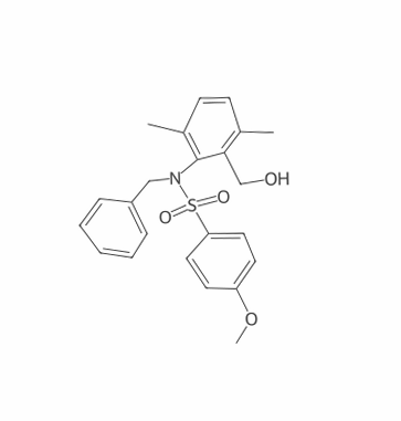 COc1ccc(S(=O)(=O)N(Cc2ccccc2)c2c(C)ccc(C)c2CO)cc1